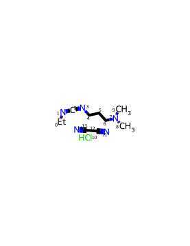 CCN=C=NCCCN(C)C.Cl.N#CC#N